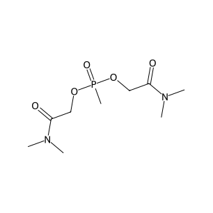 CN(C)C(=O)COP(C)(=O)OCC(=O)N(C)C